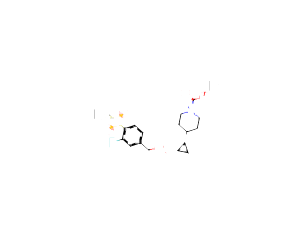 CC(C)OC(=O)N1CCC([C@H]2C[C@@H]2COCc2ccc(S(C)(=O)=O)c(F)c2)CC1